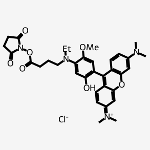 CCN(CCCC(=O)ON1C(=O)CCC1=O)c1cc(O)c(-c2c3ccc(=[N+](C)C)cc-3oc3cc(N(C)C)ccc23)cc1OC.[Cl-]